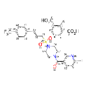 Cc1c(C(=O)O)cccc1C(=O)O.Cc1ccc(C(=O)N2CCN(S(=O)(=O)CC=Cc3ccc(C(F)(F)F)cc3)CC2)cn1